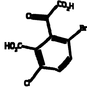 O=C(O)C(=O)c1c(Br)ccc(Cl)c1C(=O)O